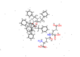 CC(C)([CH2][Sn]([CH2]C(C)(C)c1ccccc1)([CH2]C(C)(C)c1ccccc1)[O][Sn]([CH2]C(C)(C)c1ccccc1)([CH2]C(C)(C)c1ccccc1)[CH2]C(C)(C)c1ccccc1)c1ccccc1.NC(CCC(=O)N[C@@H](CCC(=O)O)C(=O)O)C(=O)O